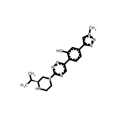 CC(C)[C@H]1CN(c2ncc(-c3ccc(-c4cn(C)nn4)cc3O)nn2)CCN1